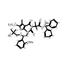 CCOC(=O)c1sc2c(c1C)c(=O)n(C(C)(C)C(=O)O[Si](c1ccccc1)(c1ccccc1)C(C)(C)C)c(=O)n2C[C@H](OCC(C)(C)C#N)c1ccccc1OC